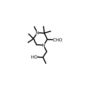 CC(O)CN1CC(C)(C)N(C)C(C)(C)C1C=O